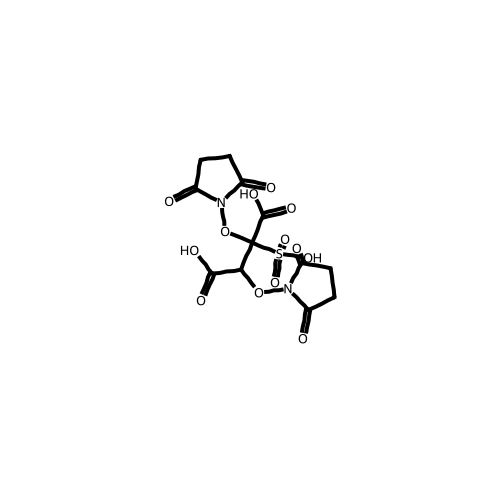 O=C(O)C(ON1C(=O)CCC1=O)C(ON1C(=O)CCC1=O)(C(=O)O)S(=O)(=O)O